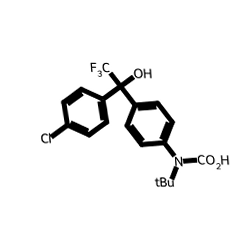 CC(C)(C)N(C(=O)O)c1ccc(C(O)(c2ccc(Cl)cc2)C(F)(F)F)cc1